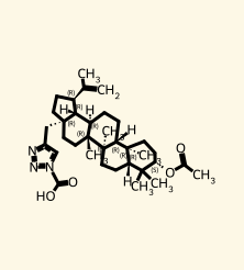 C=C(C)[C@@H]1CC[C@]2(Cc3cn(C(=O)O)nn3)CC[C@]3(C)[C@H](CC[C@@H]4[C@@]5(C)CC[C@H](OC(C)=O)C(C)(C)[C@@H]5CC[C@]43C)[C@@H]12